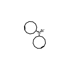 [N-]=[N+](C1CCCC=CCCCCC1)C1CCCC=CCCCCC1